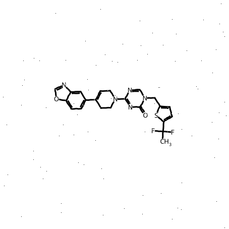 CC(F)(F)c1ccc(Cn2cnc(N3CC=C(c4ccc5ocnc5c4)CC3)nc2=O)s1